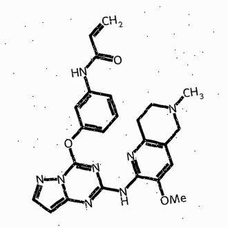 C=CC(=O)Nc1cccc(Oc2nc(Nc3nc4c(cc3OC)CN(C)CC4)nc3ccnn23)c1